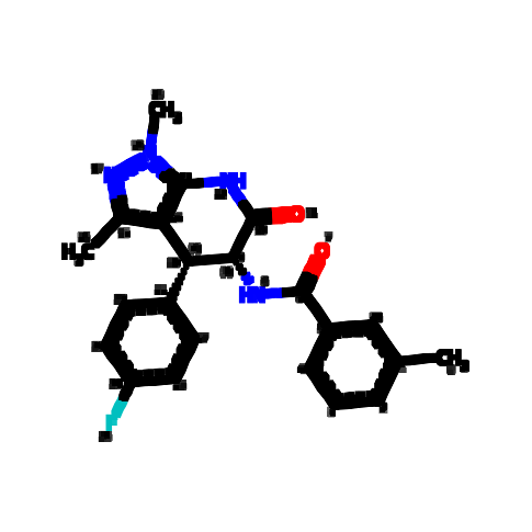 Cc1cccc(C(=O)N[C@H]2C(=O)Nc3c(c(C)nn3C)[C@H]2c2ccc(F)cc2)c1